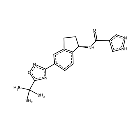 BC(B)(B)c1nc(-c2ccc3c(c2)CC[C@H]3NC(=O)c2cn[nH]c2)no1